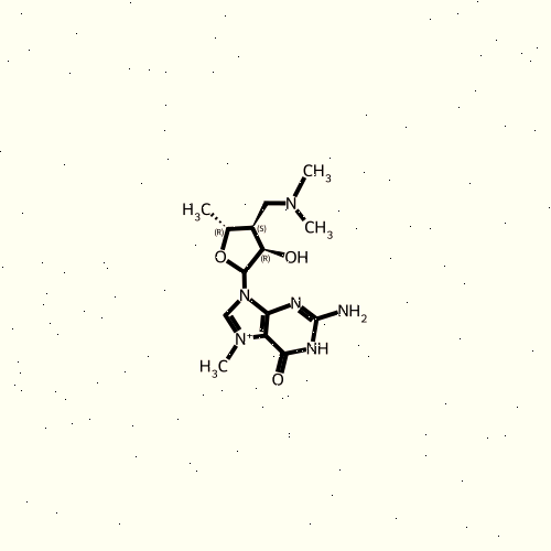 C[C@H]1OC(n2c[n+](C)c3c(=O)[nH]c(N)nc32)[C@H](O)[C@@H]1CN(C)C